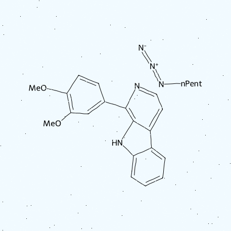 CCCCCN=[N+]=[N-].COc1ccc(-c2nccc3c2[nH]c2ccccc23)cc1OC